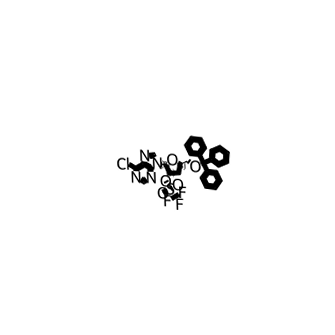 O=S(=O)(O[C@@H]1C[C@@H](COC(c2ccccc2)(c2ccccc2)c2ccccc2)O[C@H]1n1cnc2c(Cl)ncnc21)C(F)(F)F